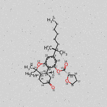 CCCCCCC(C)(C)c1cc(OC(=O)[C@@H]2CCCO2)c2c(c1)OC(C)(C)[C@@H]1CCC(=O)C[C@@H]21